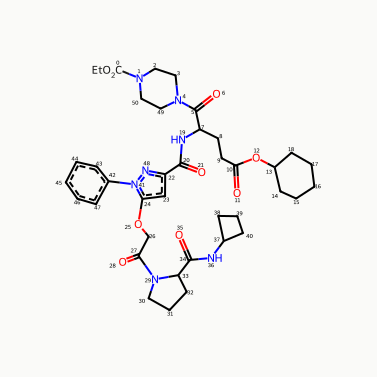 CCOC(=O)N1CCN(C(=O)C(CCC(=O)OC2CCCCC2)NC(=O)c2cc(OCC(=O)N3CCCC3C(=O)NC3CCC3)n(-c3ccccc3)n2)CC1